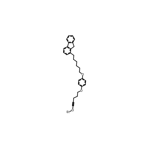 CCOC#CCCCOc1ccc(OCCCCCCc2cccc3c2Cc2ccccc2-3)cc1